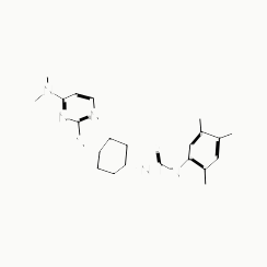 Cc1cc(C)c(NC(=S)N[C@H]2CC[C@@H](Nc3nccc(N(C)C)n3)CC2)cc1C